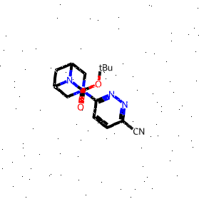 CC(C)(C)OC(=O)N1C2CC1CN(c1ccc(C#N)nn1)C2